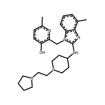 Cc1ccc(O)c(Cn2c(NC3CCN(CCN4CCCC4)CC3)nc3c(C)cccc32)n1